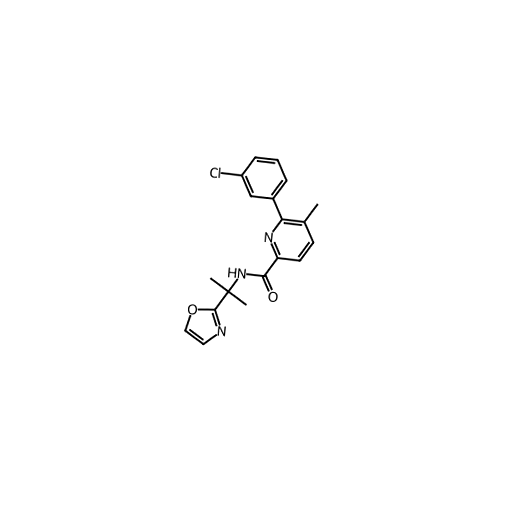 Cc1ccc(C(=O)NC(C)(C)c2ncco2)nc1-c1cccc(Cl)c1